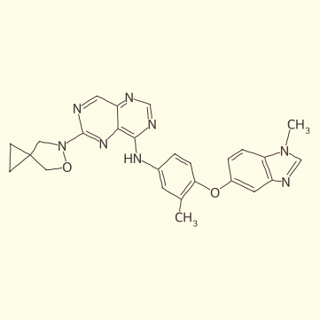 Cc1cc(Nc2ncnc3cnc(N4CC5(CC5)CO4)nc23)ccc1Oc1ccc2c(c1)ncn2C